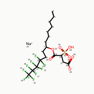 CCCCCCCC(CCC(F)(F)C(F)(F)C(F)(F)C(F)(F)F)OC(=O)C(CC(=O)[O-])S(=O)(=O)O.[Na+]